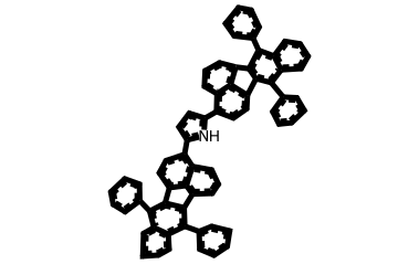 c1ccc(-c2c3c(c(-c4ccccc4)c4ccccc24)-c2ccc(-c4ccc(-c5ccc6c7c(cccc57)-c5c-6c(-c6ccccc6)c6ccccc6c5-c5ccccc5)[nH]4)c4cccc-3c24)cc1